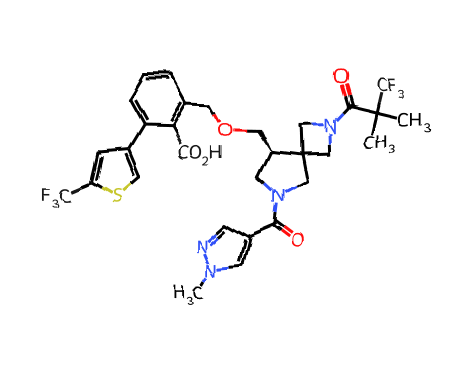 Cn1cc(C(=O)N2C[C@@H](COCc3cccc(-c4csc(C(F)(F)F)c4)c3C(=O)O)C3(C2)CN(C(=O)C(C)(C)C(F)(F)F)C3)cn1